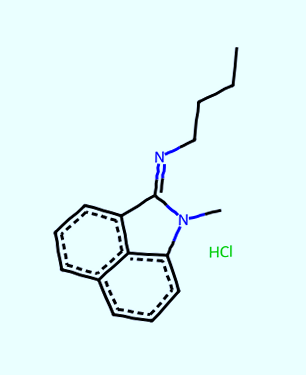 CCCCN=C1c2cccc3cccc(c23)N1C.Cl